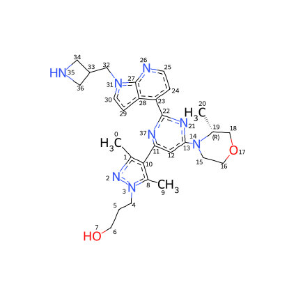 Cc1nn(CCCO)c(C)c1-c1cc(N2CCOC[C@H]2C)nc(-c2ccnc3c2ccn3CC2CNC2)n1